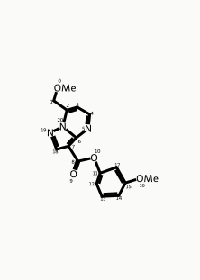 COCc1ccnc2c(C(=O)Oc3cccc(OC)c3)cnn12